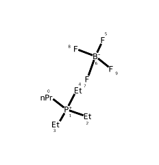 CCC[P+](CC)(CC)CC.F[B-](F)(F)F